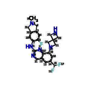 CN1Cc2cc(F)c(Nc3ncc4cc(C(F)F)cc(N5CC6(CNC6)C5)c4n3)cc2C1